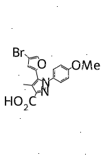 COc1ccc(-n2nc(C(=O)O)c(C)c2-c2cc(Br)co2)cc1